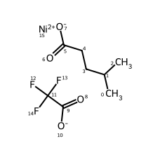 CC(C)CCC(=O)[O-].O=C([O-])C(F)(F)F.[Ni+2]